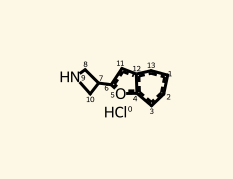 Cl.c1ccc2oc(C3CNC3)cc2c1